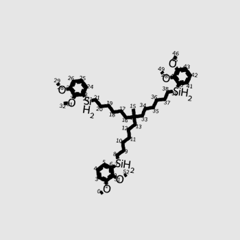 COc1cccc([SiH2]CCCCCCC(C)(CCCCCC[SiH2]c2cccc(OC)c2OC)CCCCCC[SiH2]c2cccc(OC)c2OC)c1OC